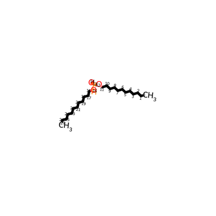 CCCCCCCCCCCCO[PH](=O)OCCCCCCCCCCCC